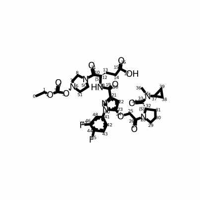 CCOC(=O)ON1CCN(C(=O)[C@H](CCC(=O)O)NC(=O)c2cc(OCC(=O)N3CCC[C@H]3C(=O)N(C)C3CC3)n(-c3ccc(F)c(F)c3)n2)CC1